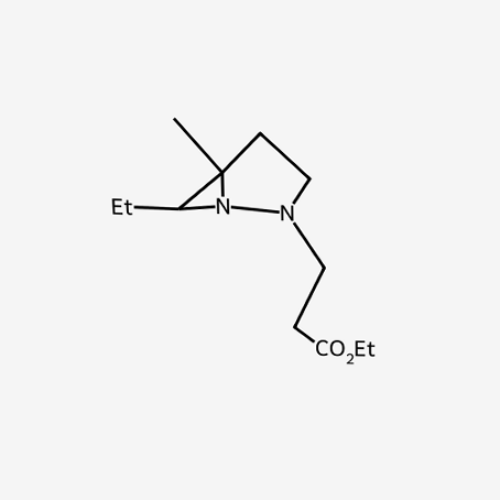 CCOC(=O)CCN1CCC2(C)C(CC)N12